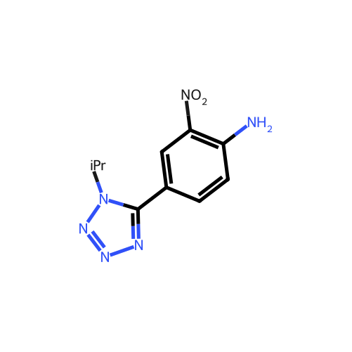 CC(C)n1nnnc1-c1ccc(N)c([N+](=O)[O-])c1